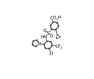 O=C(O)c1ccc(C2CC2)c(S(=O)(=O)Nc2cc(C(F)(F)F)c(Cl)cc2-n2cccc2)c1